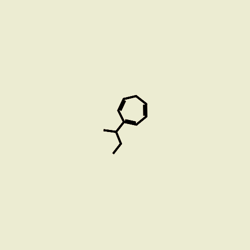 CCC(C)C1=CC=CCC=C1